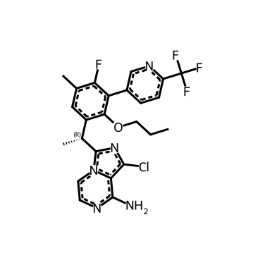 CCCOc1c([C@@H](C)c2nc(Cl)c3c(N)nccn23)cc(C)c(F)c1-c1ccc(C(F)(F)F)nc1